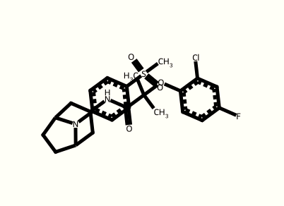 CC(C)(Oc1ccc(F)cc1Cl)C(=O)NC1CC2CCC(C1)N2c1ccc(S(C)(=O)=O)cc1